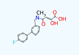 CN(Cc1cccc(-c2ccc(F)cc2)c1)C(=O)/C=C(\O)C(=O)O